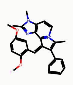 COc1ccc(OC)c(C=C2C(c3ccccc3)=C(C)[n+]3ccc4c(nc(C)n4C)c32)c1.[I-]